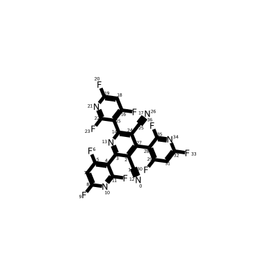 N#Cc1c(-c2c(F)cc(F)nc2F)nc(-c2c(F)cc(F)nc2F)c(C#N)c1-c1c(F)cc(F)nc1F